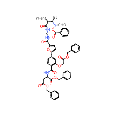 CCCCCC(C(=O)NCNC(=O)c1ccc(-c2ccc(C(=O)NC(CC(=O)OCc3ccccc3)C(=O)OCc3ccccc3)c(OCC(=O)OCc3ccccc3)c2)o1)C(CC)N(C=O)OC(=O)c1ccccc1